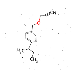 C#CCOCc1ccc(C(C)CC)cc1